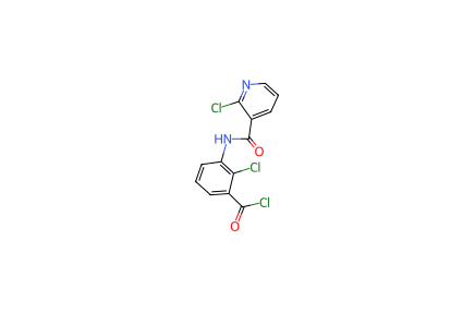 O=C(Nc1cccc(C(=O)Cl)c1Cl)c1cccnc1Cl